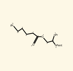 CCCCCC(CCC)COC(=O)CCCCC(C)C